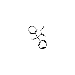 [3H]OC(=O)C(O)(c1ccccc1)c1ccccc1